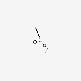 CCCCCCCCCCCC(NCc1ccc(OC(C)(C)C(=O)OCC)cc1)C(=O)Oc1ccc(Cl)cc1